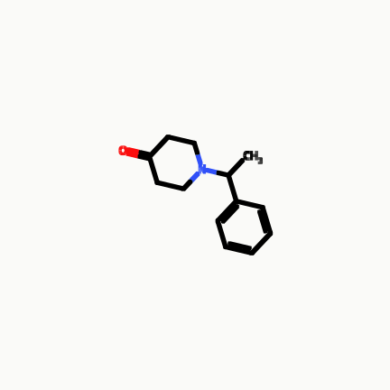 CC(c1ccccc1)N1CCC(=O)CC1